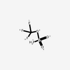 O=S(=O)(P)OC(F)(F)F